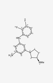 CN[C@@H]1CCN(c2cc(Nc3cccc(F)c3F)nc(N)n2)C1